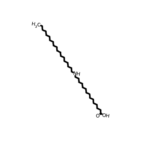 CCCCCCCCCCCCCCCCCCCNCCCCCCCCCCCCCCC(=O)O